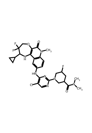 CN(C)C(=O)C1CC(F)CN(c2ncc(Cl)c(Nc3ccc4c(c3)c3c(c(=O)n4C)OCC(F)(F)C(C4CC4)N3)n2)C1